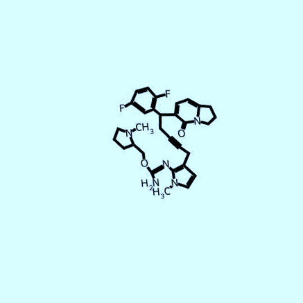 CN1CCCC1CO/C(N)=N/c1c(CC#CCC(c2cc(F)ccc2F)c2ccc3n(c2=O)CCC3)ccn1C